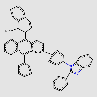 CC1c2ccccc2C=CC1c1c2ccccc2c(-c2ccccc2)c2cc(-c3ccc(-n4c(-c5ccccc5)nc5ccccc54)cc3)ccc12